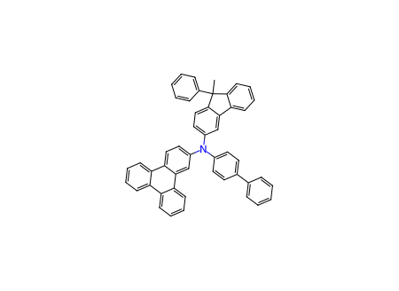 CC1(c2ccccc2)c2ccccc2-c2cc(N(c3ccc(-c4ccccc4)cc3)c3ccc4c5ccccc5c5ccccc5c4c3)ccc21